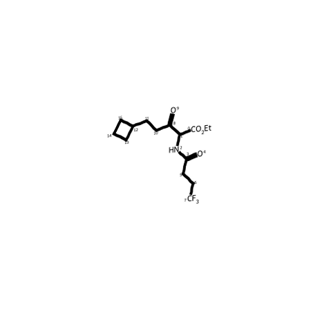 CCOC(=O)C(NC(=O)CCC(F)(F)F)C(=O)CCC1CCC1